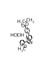 COc1ncccc1-c1cnc2ccc(N3CCN(C(=O)OC(C)C)CC3)nn12.Cl.Cl